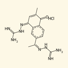 CC1=C/C(=N/NC(=N)N)c2cc(/C(C)=N\NC(=N)N)ccc2C1=O.Cl